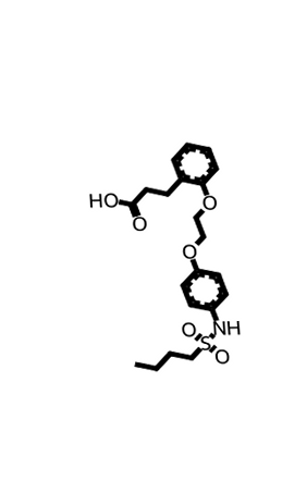 CCCCS(=O)(=O)Nc1ccc(OCCOc2ccccc2CCC(=O)O)cc1